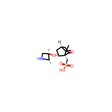 CC1(C)[C@H]2CC[C@]1(CS(=O)(=O)O)C(=O)C2.C[C@@H]1NC[C@@]1(C)O